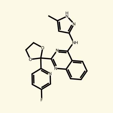 Cc1cc(Nc2nc(C3(c4ccc(F)cn4)OCCO3)nc3ccccc23)n[nH]1